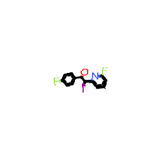 O=C(c1ccc(F)cc1)C(I)c1cccc(F)n1